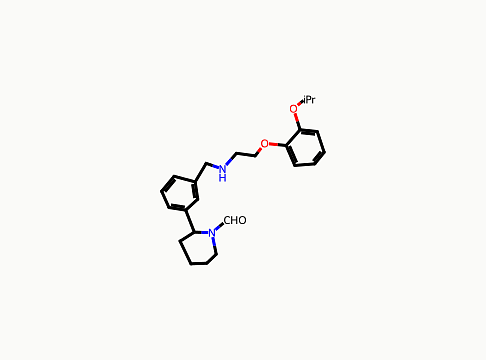 CC(C)Oc1ccccc1OCCNCc1cccc(C2CCCCN2C=O)c1